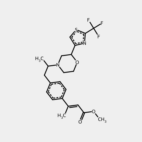 COC(=O)C=C(C)c1ccc(CC(C)N2CCOC(c3csc(C(F)(F)F)n3)C2)cc1